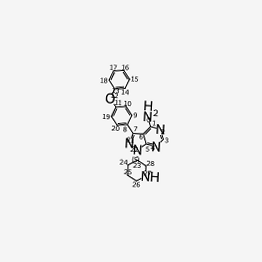 Nc1ncnc2c1c(-c1ccc(Oc3ccccc3)cc1)nn2[C@H]1CCCNC1